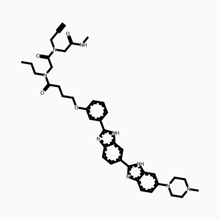 C#CCN(CC(=O)NC)C(=O)CN(CCC)C(=O)CCCOc1cccc(-c2nc3ccc(-c4nc5ccc(N6CCN(C)CC6)cc5[nH]4)cc3[nH]2)c1